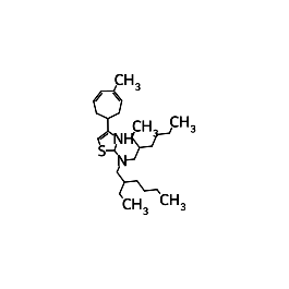 CCCCC(CC)CN(CC(CC)CCCC)C1NC(C2CC=CC(C)=CC2)=CS1